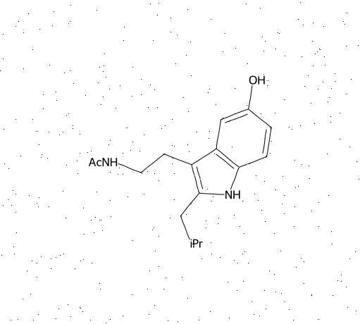 CC(=O)NCCc1c(CC(C)C)[nH]c2ccc(O)cc12